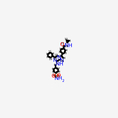 NS(=O)(=O)c1ccc(CNc2nc(-c3ccccc3)cn3c(-c4ccc(C(=O)NC5CC5)cc4)cnc23)cc1